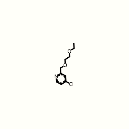 CCOCCOCc1cc(Cl)ccn1